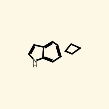 C1CCC1.c1ccc2[nH]ccc2c1